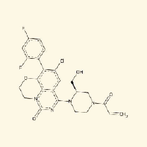 C=CC(=O)N1CCN(c2nc(=O)n3c4c(c(-c5ccc(F)cc5F)c(Cl)cc24)OCC3)[C@@H](CO)C1